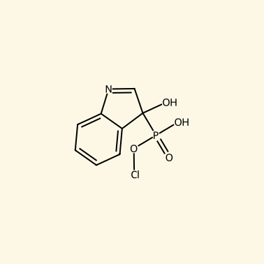 O=P(O)(OCl)C1(O)C=Nc2ccccc21